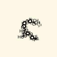 CC(C)(C)c1ccc(Oc2ccc3cnc(C(=O)NC(CC(=O)O)c4ccc(Oc5cccc(C(F)(F)F)c5)cc4)cc3c2)cc1